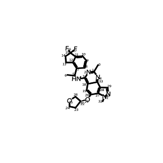 Cc1nc(NC(C)c2cccc3c2CCC3(F)F)c2cc(O[C@H]3CCOC3)c3c(cnn3C)c2n1